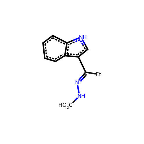 CCC(=NNC(=O)O)c1c[nH]c2ccccc12